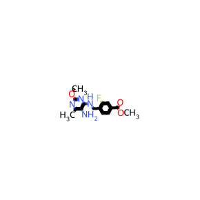 COC(=O)c1ccc(CNc2nc(OC)nc(C)c2N)c(F)c1